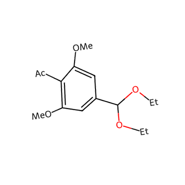 CCOC(OCC)c1cc(OC)c(C(C)=O)c(OC)c1